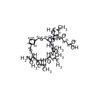 CC[C@H](C)[C@@H]1NC(=O)[C@H](CC(C)C)NC(=O)[C@H](C)NC(=O)C(/C=N/C(=O)[C@H](CC(C)C)NC(=O)CCCC(=O)O)CSCc2cccc(c2)CSCC(C(N)=O)NC1=O